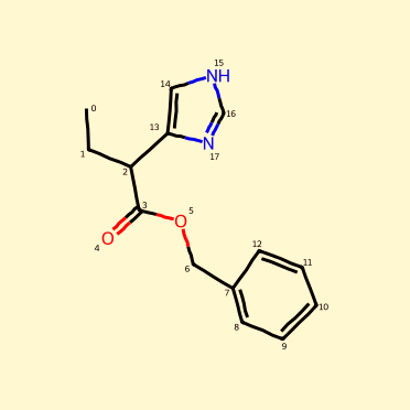 CCC(C(=O)OCc1ccccc1)c1c[nH]cn1